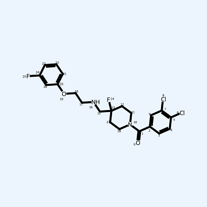 O=C(c1ccc(Cl)c(Cl)c1)N1CCC(F)(CNCCOc2cccc(F)c2)CC1